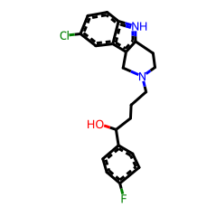 OC(CCCN1CCc2[nH]c3ccc(Cl)cc3c2C1)c1ccc(F)cc1